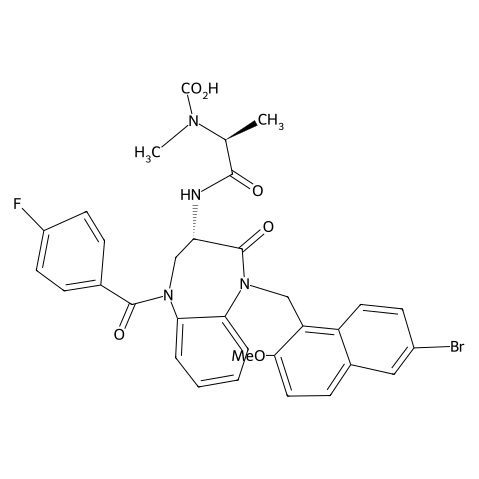 COc1ccc2cc(Br)ccc2c1CN1C(=O)[C@@H](NC(=O)[C@H](C)N(C)C(=O)O)CN(C(=O)c2ccc(F)cc2)c2ccccc21